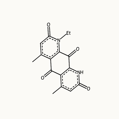 CCn1c2c(c(C)cc1=O)C(=O)c1c(C)cc(=O)[nH]c1C2=O